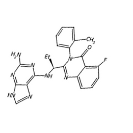 CC[C@H](Nc1nc(N)nc2[nH]cnc12)c1nc2cccc(F)c2c(=O)n1-c1ccccc1C